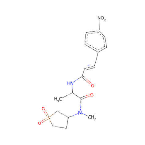 CC(NC(=O)/C=C/c1ccc([N+](=O)[O-])cc1)C(=O)N(C)C1CCS(=O)(=O)C1